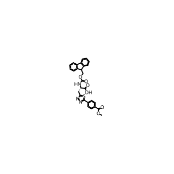 COC(=O)c1ccc(-c2nnc(C[C@H](NC(=O)OCC3c4ccccc4-c4ccccc43)C(=O)O)s2)cc1